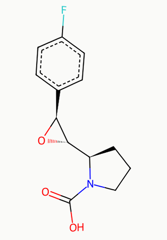 O=C(O)N1CCC[C@@H]1[C@@H]1O[C@H]1c1ccc(F)cc1